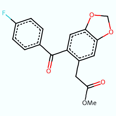 COC(=O)Cc1cc2c(cc1C(=O)c1ccc(F)cc1)OCO2